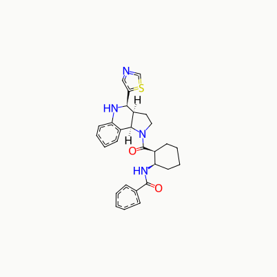 O=C(N[C@@H]1CCCC[C@@H]1C(=O)N1CC[C@@H]2[C@H](c3cncs3)Nc3ccccc3[C@@H]21)c1ccccc1